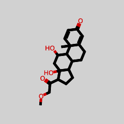 COCC(=O)C1CCC2C3CCC4=CC(=O)C=CC4(C)C3C(O)CC12O